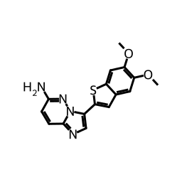 COc1cc2cc(-c3cnc4ccc(N)nn34)sc2cc1OC